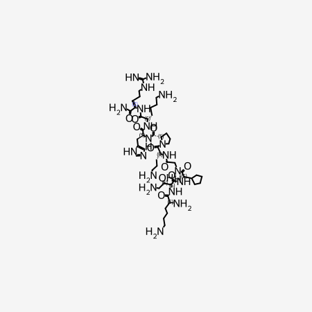 N=C(N)NCC/C=C(\NC(=O)[C@H](CCCCN)NC(=O)[C@H](Cc1cnc[nH]1)NC(=O)[C@@H]1CCCN1C(=O)[C@@H](CCCN)NC(=O)CNC(=O)[C@@H](NC(=O)[C@@H](NC(=O)[C@@H](N)CCCCN)[C@@H](O)CN)C1CCCC1)C(N)=O